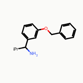 CC(C)C(N)c1cccc(OCc2ccccc2)c1